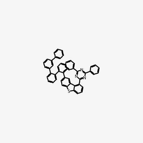 c1ccc(-c2cccc(-c3ccccc3-c3ccccc3-c3ccc4sc5cccc(-c6nc(-c7ccccc7)nc(-c7ccccc7)n6)c5c4c3)c2)cc1